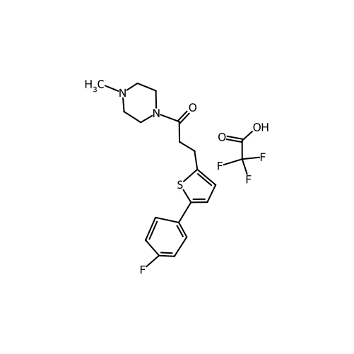 CN1CCN(C(=O)CCc2ccc(-c3ccc(F)cc3)s2)CC1.O=C(O)C(F)(F)F